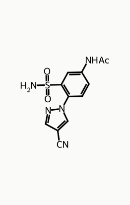 CC(=O)Nc1ccc(-n2cc(C#N)cn2)c(S(N)(=O)=O)c1